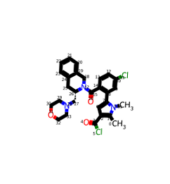 Cc1c(C(=O)Cl)cc(-c2cc(Cl)ccc2C(=O)N2Cc3ccccc3C[C@H]2CN2CCOCC2)n1C